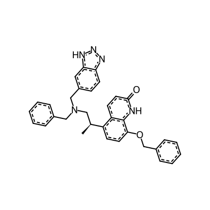 C[C@@H](CN(Cc1ccccc1)Cc1ccc2nn[nH]c2c1)c1ccc(OCc2ccccc2)c2[nH]c(=O)ccc12